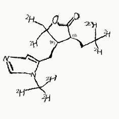 [2H]C([2H])([2H])C[C@@H]1C(=O)OC([2H])([2H])[C@@H]1Cc1cncn1C([2H])([2H])[2H]